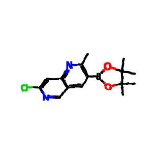 Cc1nc2cc(Cl)ncc2cc1B1OC(C)(C)C(C)(C)O1